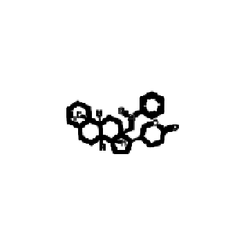 C[C@]12CCCCC1CC[C@H]1[C@H]3CC[C@H](C4CCC(=O)OC4)[C@@]3(C[Se](=O)c3ccccc3)CC[C@@H]12